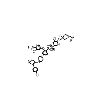 CC1(C)CCC(CN2CCN(c3ccc(C(=O)NS(=O)(=O)c4cnc(OCC5(F)CCN(CC(F)F)CC5)c(Cl)c4)c(Oc4cnc(N)c(Cl)c4)c3)CC2)=C(c2ccc(Cl)cc2)C1